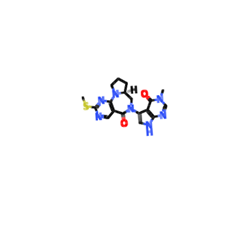 CSc1ncc2c(n1)N1CCC[C@H]1CN(c1c[nH]c3ncn(C)c(=O)c13)C2=O